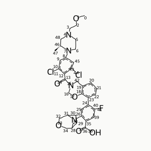 COCCN1CCN(c2cc(Cl)c(C(=O)N3COc4c(cccc4-c4cc(N5C6CCC5COC6)c(C(=O)O)cc4F)C3)c(Cl)c2)[C@@H](C)C1